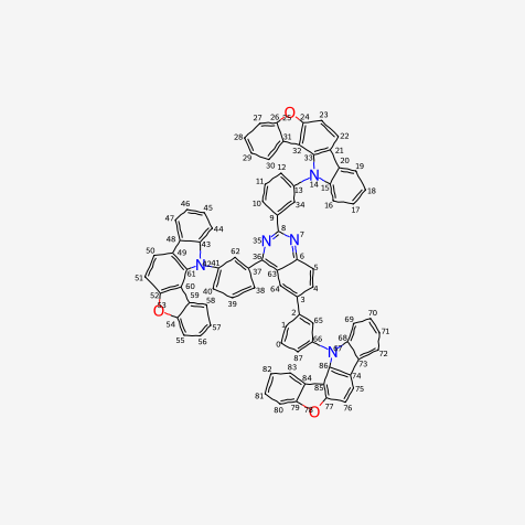 c1cc(-c2ccc3nc(-c4cccc(-n5c6ccccc6c6ccc7oc8ccccc8c7c65)c4)nc(-c4cccc(-n5c6ccccc6c6ccc7oc8ccccc8c7c65)c4)c3c2)cc(-n2c3ccccc3c3ccc4oc5ccccc5c4c32)c1